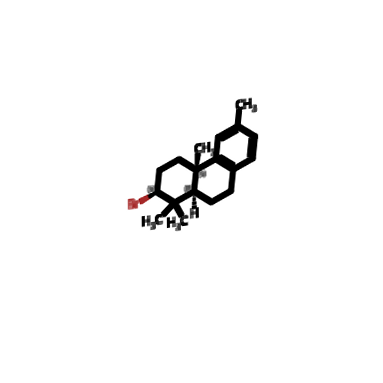 Cc1ccc2c(c1)[C@@]1(C)CC[C@H](Br)C(C)(C)[C@@H]1CC2